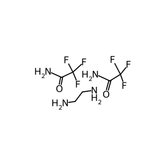 NC(=O)C(F)(F)F.NC(=O)C(F)(F)F.NCCN